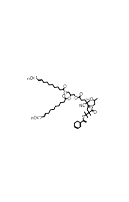 C=C(SC(C)(C)C(C)(CCC(C)(C#N)CCC(=O)OCC(COC(=O)CCCCCCC/C=C/CCCCCCCC)OC(=O)CCCCCCC/C=C/CCCCCCCC)C(=O)NCC(C)O)C1=CC=CCC1